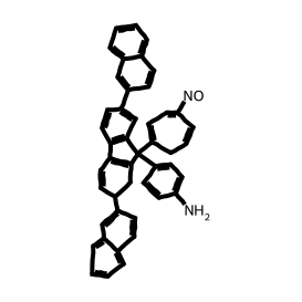 Nc1ccc(C2(C3=CC=C(N=O)C=CC3)C3=C(C=CC(c4ccc5ccccc5c4)C3)c3ccc(-c4ccc5ccccc5c4)cc32)cc1